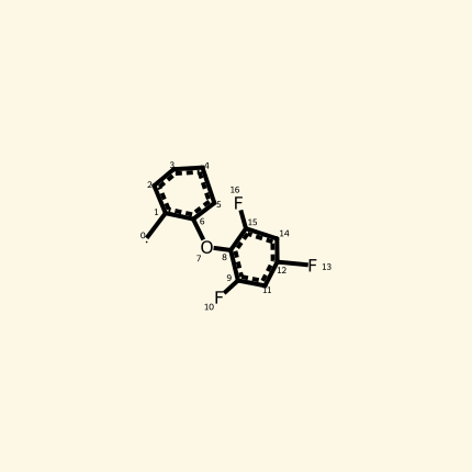 [CH2]c1ccccc1Oc1c(F)cc(F)cc1F